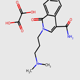 CN(C)CCCn1cc(C(N)=O)c2ccccc2c1=O.O=C(O)C(=O)O